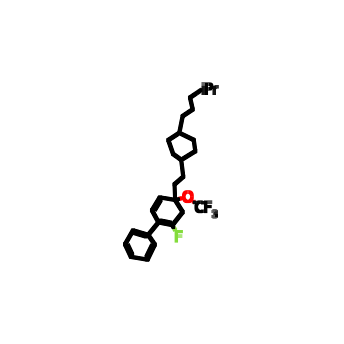 CC(C)CCCC1CCC(CCC2(OC(F)(F)F)C=CC(c3ccccc3)=C(F)C2)CC1